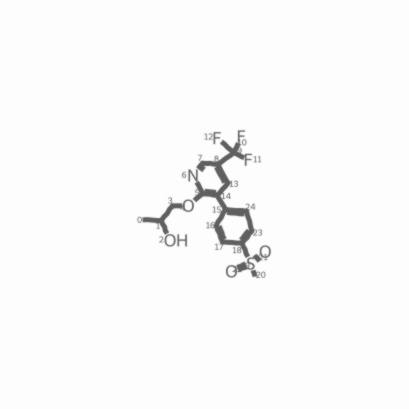 CC(O)COc1ncc(C(F)(F)F)cc1-c1ccc(S(C)(=O)=O)cc1